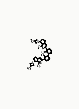 COc1nc(-c2cccc(-c3cccc(-c4cc5c(c(OC)n4)C(N4CC(OC)C4)CC5)c3Cl)c2Cl)cc2c1C(N1CC(OC)C1)CC2